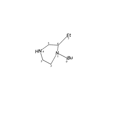 CCC(C)N1CCNCC1CC